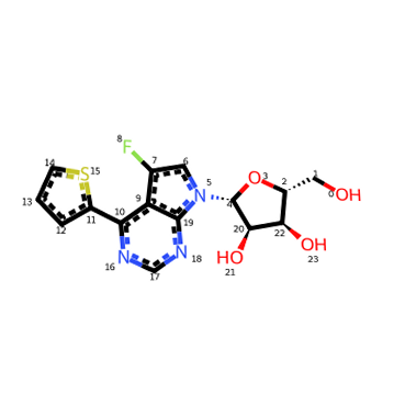 OC[C@H]1O[C@@H](n2cc(F)c3c(-c4cccs4)ncnc32)[C@H](O)[C@@H]1O